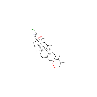 C=C1C[C@@]2(CC)[C@@H](CC[C@@]2(O)/C=C/Br)[C@@H]2CC=C3CC4(CC[C@@H]3[C@@H]12)OOCC(C)C4C